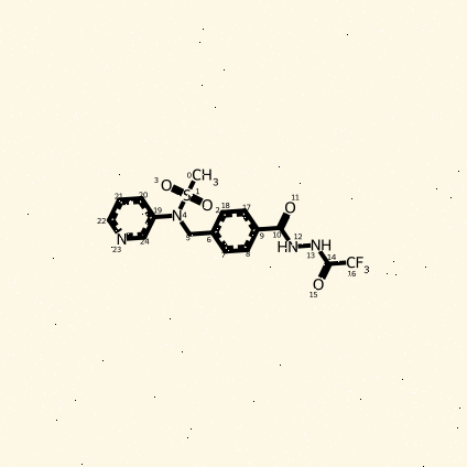 CS(=O)(=O)N(Cc1ccc(C(=O)NNC(=O)C(F)(F)F)cc1)c1cccnc1